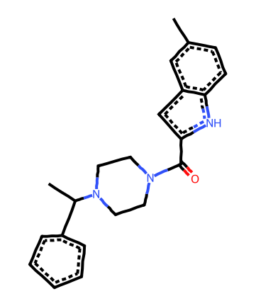 Cc1ccc2[nH]c(C(=O)N3CCN(C(C)c4ccccc4)CC3)cc2c1